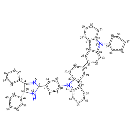 c1ccc(C2=NC(c3ccc(-n4c5ccccc5c5cc(-c6ccc7c(c6)c6ccccc6n7-c6ccccc6)ccc54)cc3)N[C@@H]2c2ccccc2)cc1